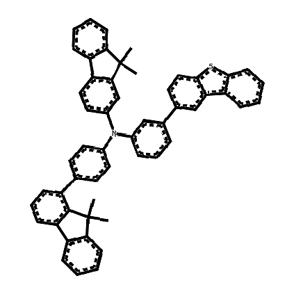 CC1(C)c2ccccc2-c2ccc(N(c3ccc(-c4cccc5c4C(C)(C)c4ccccc4-5)cc3)c3cccc(-c4ccc5sc6ccccc6c5c4)c3)cc21